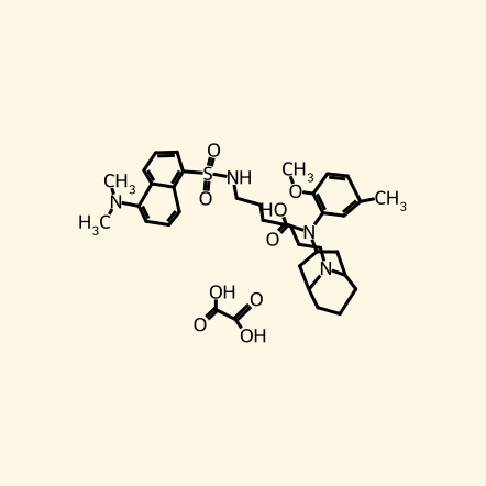 COc1ccc(C)cc1N(C(=O)O)C1CC2CCCC(C1)N2CCCCCCNS(=O)(=O)c1cccc2c(N(C)C)cccc12.O=C(O)C(=O)O